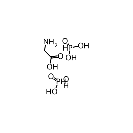 NCC(=O)O.O=[PH](O)O.O=[PH](O)O